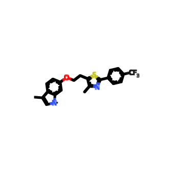 CC1=C[N]c2cc(OCCc3sc(-c4ccc(C(F)(F)F)cc4)nc3C)ccc21